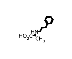 CC(NCCCc1ccccc1)C(=O)O